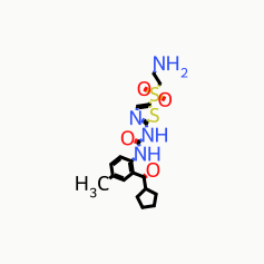 Cc1ccc(NC(=O)Nc2ncc(S(=O)(=O)CCN)s2)c(C(=O)C2CCCC2)c1